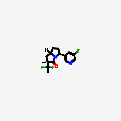 CC(F)(F)[C@@]1(C)C[C@@H]2CC[C@@H](c3cncc(F)c3)N2C1=O